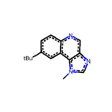 Cn1cnc2cnc3ccc(C(C)(C)C)cc3c21